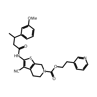 COc1cccc(C(C)CC(=O)Nc2sc3c(c2C#N)CCN(C(=O)OCCc2cccnc2)C3)c1